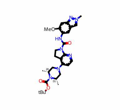 COc1cc2nn(C)cc2cc1NC(=O)N1CCc2c(N3C[C@@H](C)N(C(=O)OC(C)(C)C)[C@@H](C)C3)ccnc21